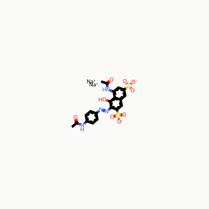 CC(=O)Nc1ccc(N=Nc2c(S(=O)(=O)[O-])cc3cc(S(=O)(=O)[O-])cc(NC(C)=O)c3c2O)cc1.[Na+].[Na+]